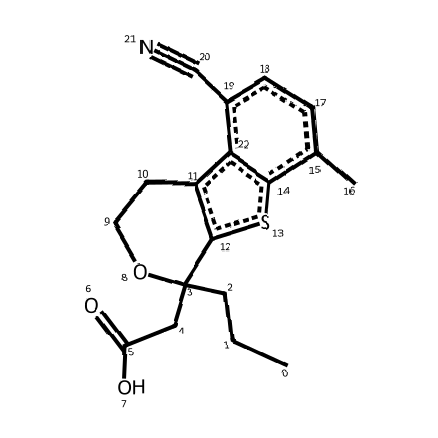 CCCC1(CC(=O)O)OCCc2c1sc1c(C)ccc(C#N)c21